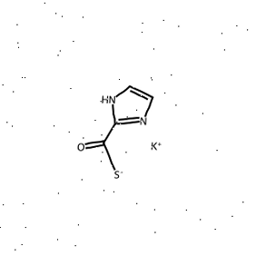 O=C([S-])c1ncc[nH]1.[K+]